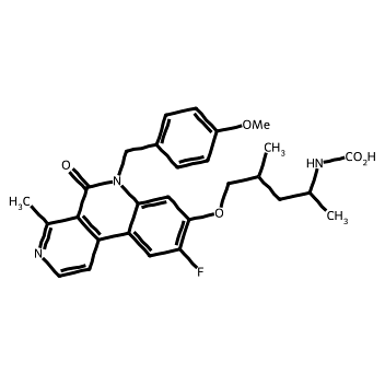 COc1ccc(Cn2c(=O)c3c(C)nccc3c3cc(F)c(OCC(C)CC(C)NC(=O)O)cc32)cc1